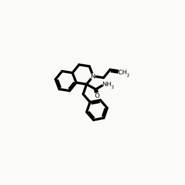 C=CCN1CCC2CC=CC=C2C1(Cc1ccccc1)C(N)=O